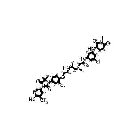 CCc1cc(N2C(=S)N(c3cnc(C#N)c(C(F)(F)F)c3)C(=O)C2(C)C)ccc1OCCN[C@@H](C)CN(C)CC(=O)Nc1cc(Cl)cc(NC2CCC(=O)NC2=O)c1